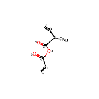 C=CC(=O)OC(=O)C(C=C)CCCC